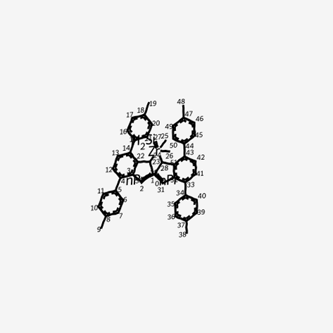 CCCC1=Cc2c(-c3ccc(C)cc3)ccc(-c3ccc(C)cc3)c2[CH]1[Zr]([CH3])([CH3])(=[SiH2])[CH]1C(CCC)=Cc2c(-c3ccc(C)cc3)ccc(-c3ccc(C)cc3)c21